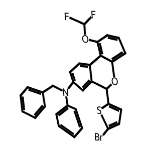 FC(F)Oc1cccc2c1-c1ccc(N(Cc3ccccc3)c3ccccc3)cc1C(c1ccc(Br)s1)O2